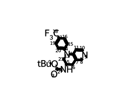 CC(C)(C)OC(=O)NC1Cc2cnccc2N(c2ccc(C(F)(F)F)cc2)C1